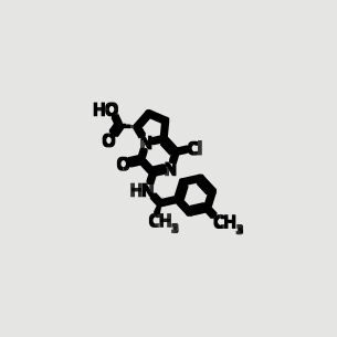 Cc1cccc([C@@H](C)Nc2nc(Cl)c3n(c2=O)[C@H](C(=O)O)CC3)c1